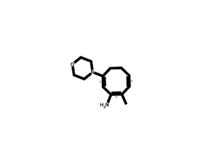 CC1=C(N)/C=C(/N2CCOCC2)CC/C=C\1